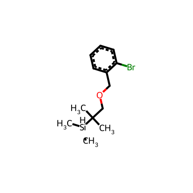 C[SiH](C)C(C)(C)COCc1ccccc1Br